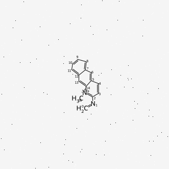 C=Nc1ccc2cc3ccccc3cc2[n+]1C